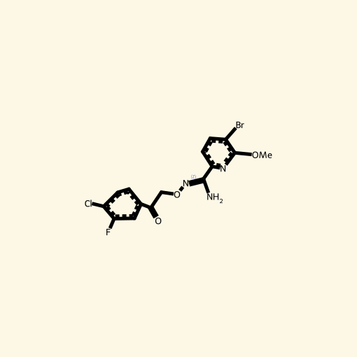 COc1nc(/C(N)=N/OCC(=O)c2ccc(Cl)c(F)c2)ccc1Br